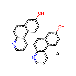 Oc1ccc2c(ccc3ncccc32)c1.Oc1ccc2c(ccc3ncccc32)c1.[Zn]